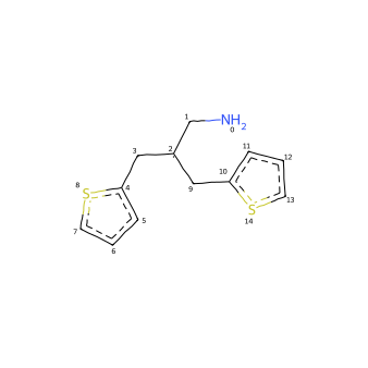 NC[C](Cc1cccs1)Cc1cccs1